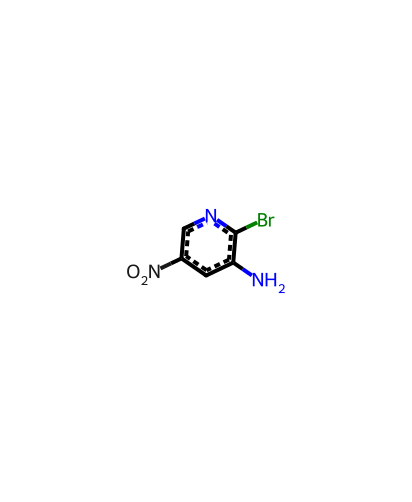 Nc1cc([N+](=O)[O-])cnc1Br